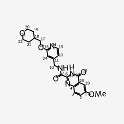 COc1ccc2nc(C(=O)NCc3ccnc(OCC4CCOCC4)c3)[nH]c(=O)c2c1